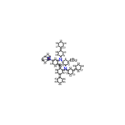 CC(C)(C)c1cc2c3c(c1)N(c1ccc(-c4ccccc4)cc1)c1cc(N4C5CC6CC(C5)CC4C6)ccc1B3c1ccc(-c3ccccc3)cc1N2c1cccc(-c2ccccc2)c1